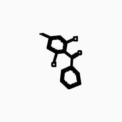 [CH2]c1cc(Cl)c(C(=O)c2ccccc2)c(Cl)c1